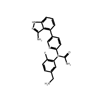 NCc1ccc(F)c(N(C(N)=O)c2ccc(-c3cccc4[nH]nc(N)c34)cn2)c1